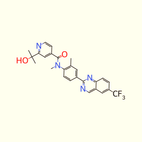 Cc1cc(-c2ncc3cc(C(F)(F)F)ccc3n2)ccc1N(C)C(=O)c1ccnc(C(C)(C)O)c1